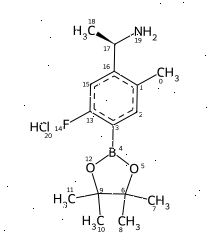 Cc1cc(B2OC(C)(C)C(C)(C)O2)c(F)cc1[C@@H](C)N.Cl